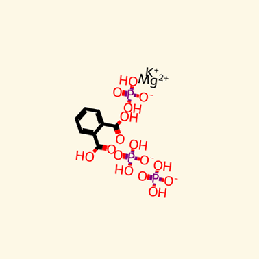 O=C(O)c1ccccc1C(=O)O.O=P([O-])(O)O.O=P([O-])(O)O.O=P([O-])(O)O.[K+].[Mg+2]